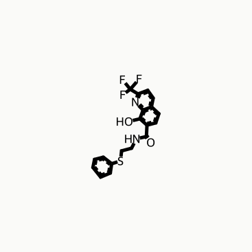 O=C(NCCSc1ccccc1)c1ccc2ccc(C(F)(F)F)nc2c1O